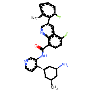 C[C@@H]1C[C@H](N)C[C@H](c2ccncc2NC(=O)c2ccc(F)c3cc(-c4c(F)cccc4C#N)cnc23)C1